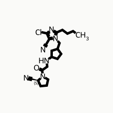 CCCCc1nc(Cl)c(C#N)n1CC1CCC(NCC(=O)N2CCC[C@H]2C#N)C1